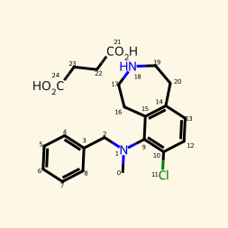 CN(Cc1ccccc1)c1c(Cl)ccc2c1CCNCC2.O=C(O)CCC(=O)O